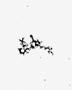 C#Cc1nc(OC[C@]2(C)CCCN2C(=O)OC(C)(C)C)nc2c1ccn2COCC[Si](C)(C)C